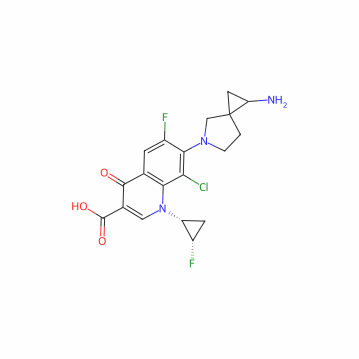 NC1CC12CCN(c1c(F)cc3c(=O)c(C(=O)O)cn([C@@H]4C[C@@H]4F)c3c1Cl)C2